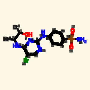 CCC(O)C(CC)Nc1nc(Nc2ccc(S(N)(=O)=O)cc2)ncc1Br